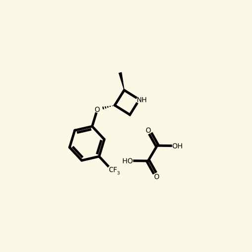 C[C@H]1NC[C@@H]1Oc1cccc(C(F)(F)F)c1.O=C(O)C(=O)O